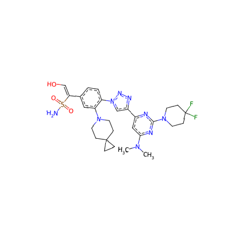 CN(C)c1cc(-c2cn(-c3ccc(C(=CO)S(N)(=O)=O)cc3N3CCC4(CC3)CC4)nn2)nc(N2CCC(F)(F)CC2)n1